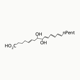 CCCCCC=CC=CC=CC(O)C(O)CC=CCCCC(=O)O